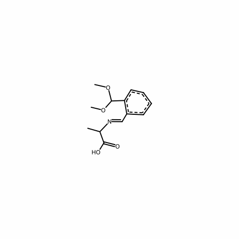 COC(OC)c1ccccc1C=NC(C)C(=O)O